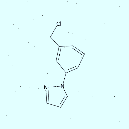 ClCc1cccc(-n2cccn2)c1